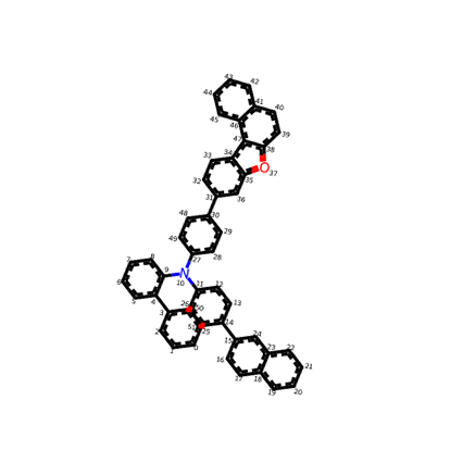 c1ccc(-c2ccccc2N(c2ccc(-c3ccc4ccccc4c3)cc2)c2ccc(-c3ccc4c(c3)oc3ccc5ccccc5c34)cc2)cc1